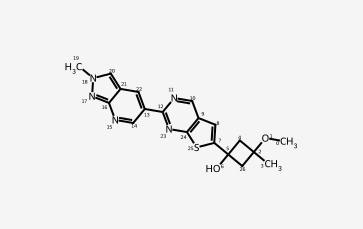 COC1(C)CC(O)(c2cc3cnc(-c4cnc5nn(C)cc5c4)nc3s2)C1